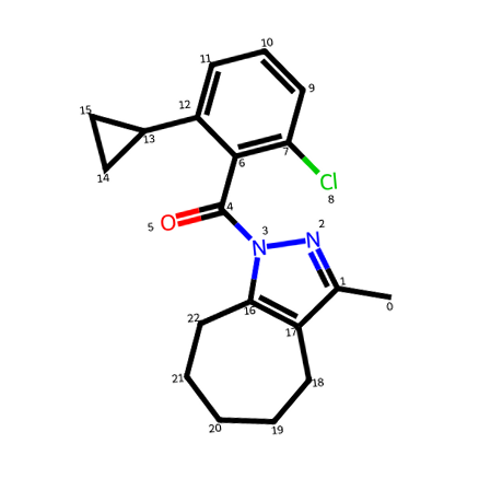 Cc1nn(C(=O)c2c(Cl)cccc2C2CC2)c2c1CCCCC2